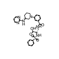 O=C(NC[C@H](NS(=O)(=O)c1ccccc1)C(=O)O)c1cccc(N2CCC[C@H](Nc3ncccn3)C2)c1